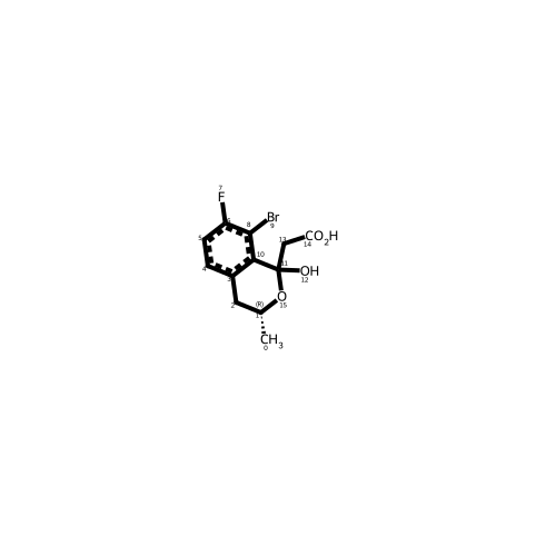 C[C@@H]1Cc2ccc(F)c(Br)c2C(O)(CC(=O)O)O1